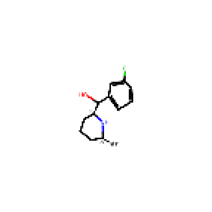 CCC[C@H]1CCC[C@@H](C(O)c2cccc(Cl)c2)N1